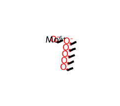 CC[O-].CC[O-].CC[O-].CC[O-].CC[O-].CC[O-].[Mo+6]